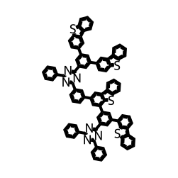 c1ccc(-c2nc(-c3cccc(-c4cc(-c5cc(-c6nc(-c7ccccc7)nc(-c7ccccc7)n6)cc(-c6cccc7c6sc6ccccc67)c5)c5sc6ccccc6c5c4)c3)nc(-c3cc(-c4ccc5sc6ccccc6c5c4)cc(-c4ccc5sc6ccccc6c5c4)c3)n2)cc1